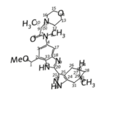 COCc1cc(N(C)C(=O)[C@H](C)N2CCOCC2)cc2nc(-c3n[nH]c4c3C[C@@H]3C[C@]3(C)C4)[nH]c12